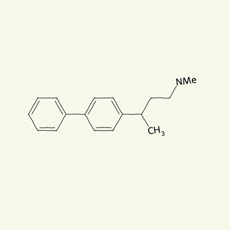 CNCCC(C)c1ccc(-c2ccccc2)cc1